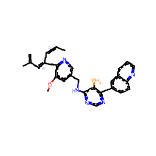 C=C(C)/C=C(\C=C/C)c1ncc(CNc2ncnc(-c3ccc4ncccc4c3)c2P)cc1OC